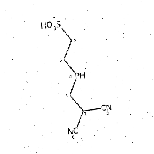 N#CC(C#N)CPCCS(=O)(=O)O